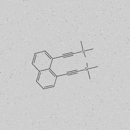 C[Si](C)(C)C#Cc1cccc2cccc(C#C[Si](C)(C)C)c12